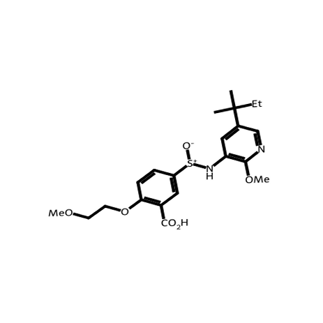 CCC(C)(C)c1cnc(OC)c(N[S+]([O-])c2ccc(OCCOC)c(C(=O)O)c2)c1